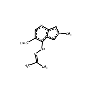 CCOC(=O)c1cnc2nn(C)cc2c1NN=C(C)C